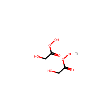 O=C(CO)OO.O=C(CO)OO.[Ti]